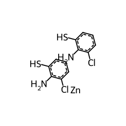 Nc1c(S)cccc1Cl.Nc1c(S)cccc1Cl.[Zn]